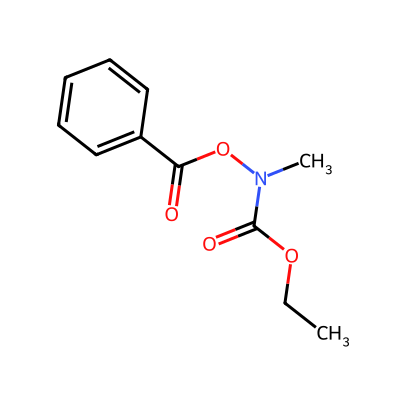 CCOC(=O)N(C)OC(=O)c1ccccc1